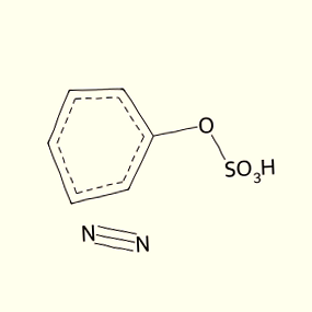 N#N.O=S(=O)(O)Oc1ccccc1